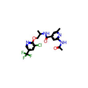 CC(=O)Nc1cc(C(=O)NC(C)COc2ncc(C(F)(F)F)cc2Cl)cc(C)n1